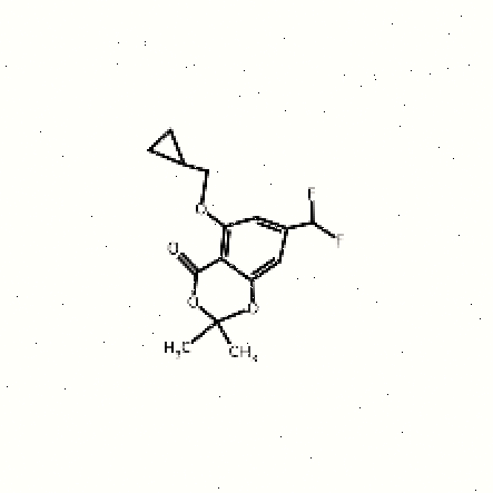 CC1(C)OC(=O)c2c(OCC3CC3)cc(C(F)F)cc2O1